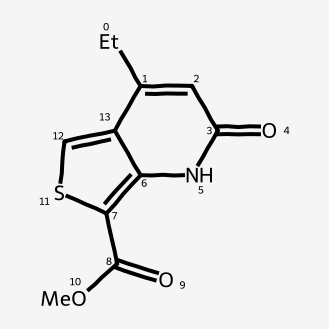 CCc1cc(=O)[nH]c2c(C(=O)OC)scc12